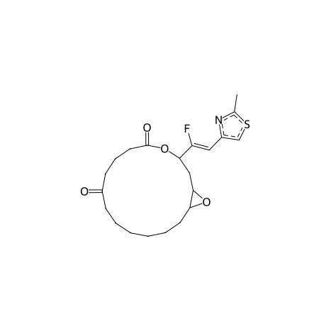 Cc1nc(C=C(F)C2CC3OC3CCCCCCC(=O)CCCC(=O)O2)cs1